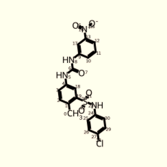 Cc1ccc(NC(=O)Nc2cccc([N+](=O)[O-])c2)cc1S(=O)(=O)Nc1ccc(Cl)cc1